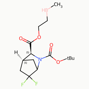 CBCCOC(=O)[C@@H]1[C@H]2CC(N1C(=O)OC(C)(C)C)C(F)(F)C2